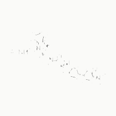 CC(=O)NCCn1c([C@@H]2CCCN(C(=O)C[C@H](N)Cc3ccc(-c4ccc5c(c4)OCCN5C)cc3)C2)nc2c(C)cccc21